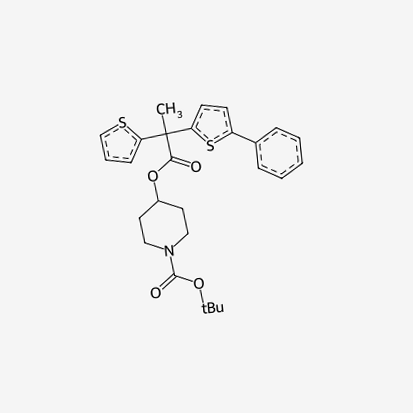 CC(C)(C)OC(=O)N1CCC(OC(=O)C(C)(c2cccs2)c2ccc(-c3ccccc3)s2)CC1